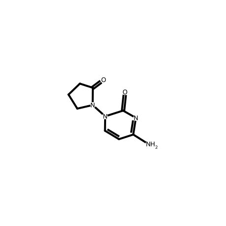 Nc1ccn(N2CCCC2=O)c(=O)n1